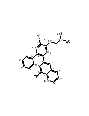 CCN(CC)CSc1nc(-c2cc(Cl)c3ncccc3c2)c(-c2ccccc2)nc1N